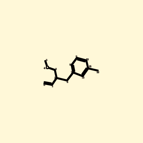 C=CC(COC)Cc1cccc(C)c1